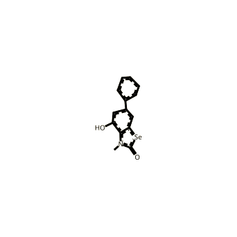 Cn1c(=O)[se]c2cc(-c3ccccc3)cc(O)c21